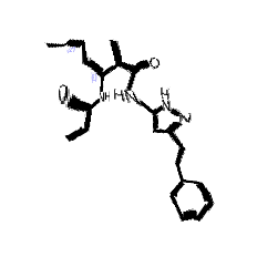 C=CC(=O)N/C(=C/C=C\C)C(=C)C(=O)Nc1cc(CCc2ccccc2)n[nH]1